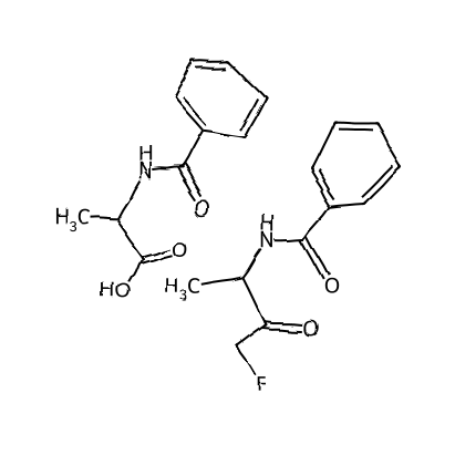 CC(NC(=O)c1ccccc1)C(=O)CF.CC(NC(=O)c1ccccc1)C(=O)O